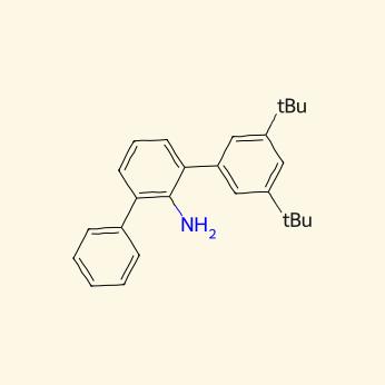 CC(C)(C)c1cc(-c2cccc(-c3ccccc3)c2N)cc(C(C)(C)C)c1